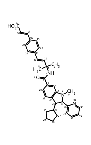 CN1c2cc(C(=O)NC(C)(C)/C=C/c3ccc(/C=C/C(=O)O)cc3)ccc2C(C2CCCC2)C1c1ccccn1